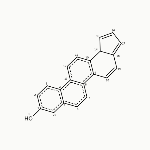 Oc1ccc2c(ccc3c4c(ccc32)C2C=CC=C2C=C4)c1